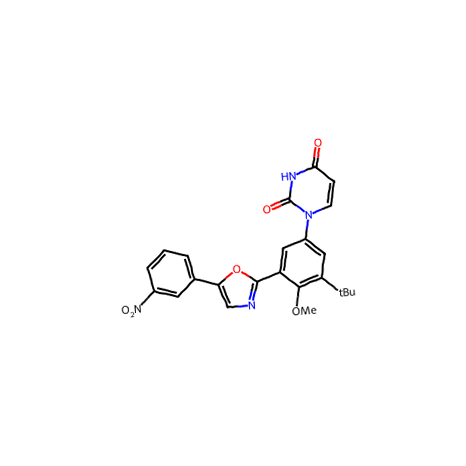 COc1c(-c2ncc(-c3cccc([N+](=O)[O-])c3)o2)cc(-n2ccc(=O)[nH]c2=O)cc1C(C)(C)C